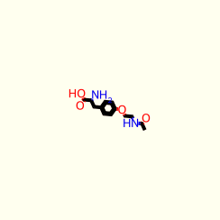 CC(=O)NCCOc1ccc(CC(N)C(=O)O)cc1